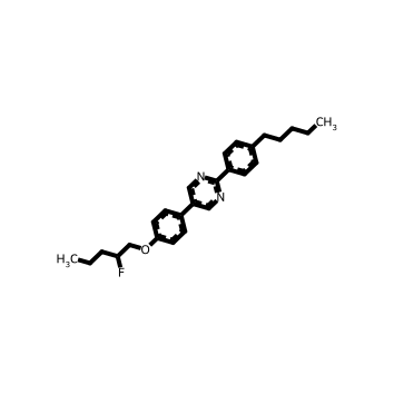 CCCCCc1ccc(-c2ncc(-c3ccc(OCC(F)CCC)cc3)cn2)cc1